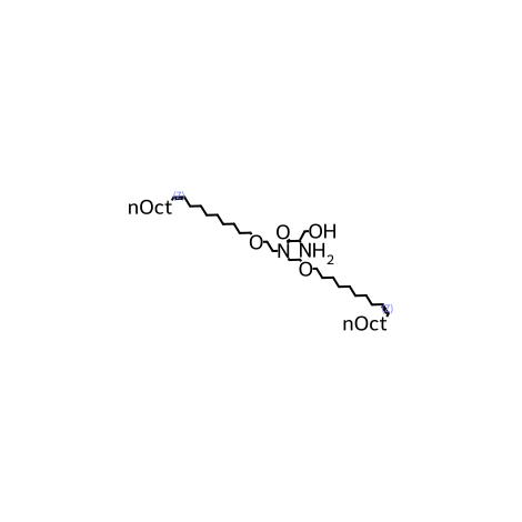 CCCCCCCC/C=C\CCCCCCCCOCCN(CCOCCCCCCCC/C=C\CCCCCCCC)C(=O)C(N)CO